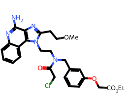 CCOC(=O)COc1cccc(CN(CCn2c(CCOC)nc3c(N)nc4ccccc4c32)C(=O)CCl)c1